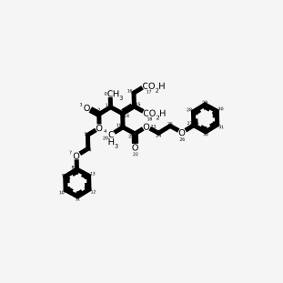 CC(C(=O)OCCOc1ccccc1)C(=C(CC(=O)O)C(=O)O)C(C)C(=O)OCCOc1ccccc1